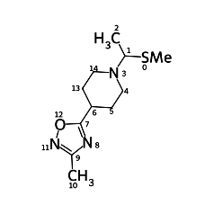 CSC(C)N1CCC(c2nc(C)no2)CC1